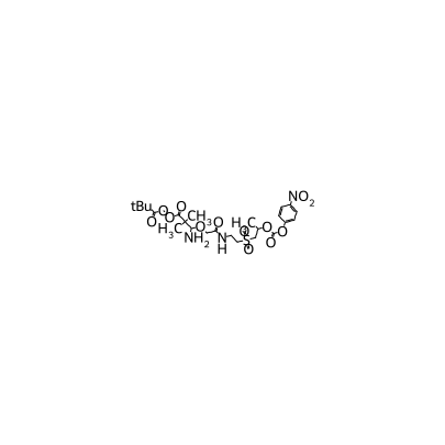 CC(CS(=O)(=O)CCNC(=O)COC(N)C(C)(C)C(=O)OOC(=O)C(C)(C)C)OC(=O)Oc1ccc([N+](=O)[O-])cc1